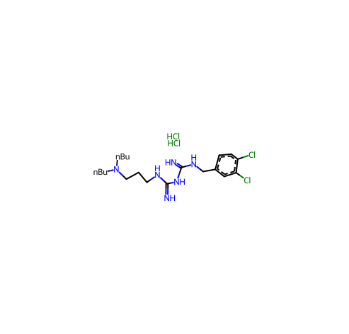 CCCCN(CCCC)CCCNC(=N)NC(=N)NCc1ccc(Cl)c(Cl)c1.Cl.Cl